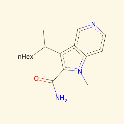 CCCCCCC(C)c1c(C(N)=O)n(C)c2ccncc12